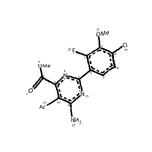 COC(=O)c1nc(-c2ccc(Cl)c(OC)c2F)nc(N)c1C(C)=O